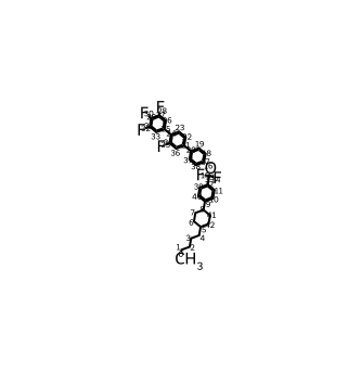 CCCCCC1CCC(c2ccc(C(F)(F)Oc3ccc(-c4ccc(-c5cc(F)c(F)c(F)c5)c(F)c4)cc3)cc2)CC1